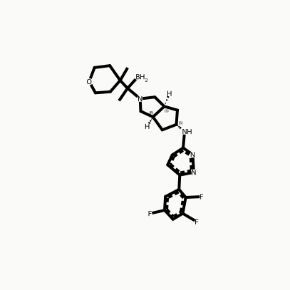 BC(C)(N1C[C@H]2C[C@H](Nc3ccc(-c4cc(F)cc(F)c4F)nn3)C[C@H]2C1)C1(C)CCOCC1